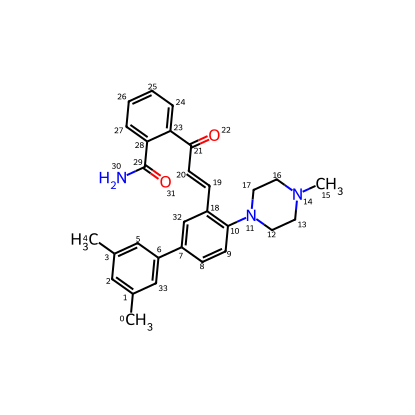 Cc1cc(C)cc(-c2ccc(N3CCN(C)CC3)c(C=CC(=O)c3ccccc3C(N)=O)c2)c1